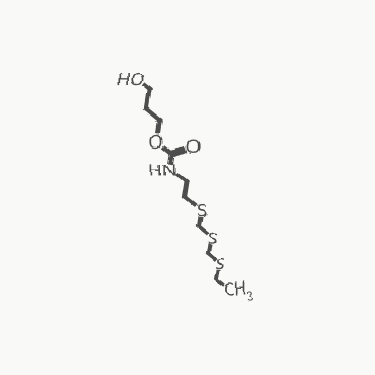 CCSCSCSCCNC(=O)OCCCO